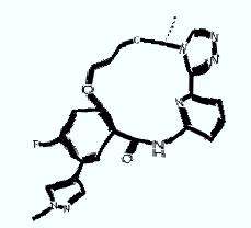 C[C@H]1CCCOc2cc(F)c(-c3cnn(C)c3)cc2C(=O)Nc2cccc(n2)-c2nncn21